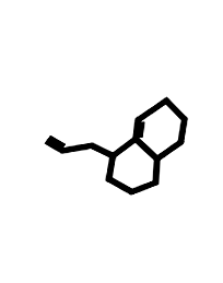 C=CCC1CCCC2CCCC=C12